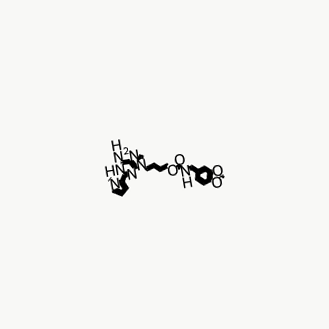 Cn1cccc1C1=Nc2c(ncn2CCCCOC(=O)NCc2ccc3c(c2)OCO3)C(N)N1